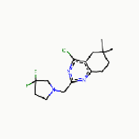 CC1(C)CCc2nc(CN3CCC(F)(F)C3)nc(Cl)c2C1